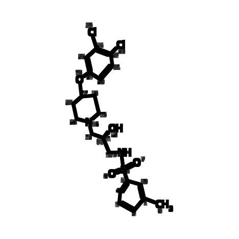 Cc1cccc(S(=O)(=O)NC[C@H](O)CN2CCC(Oc3ccc(Cl)c(Cl)c3)CC2)c1